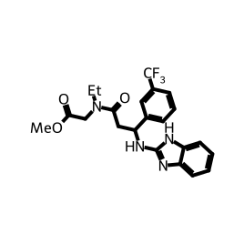 CCN(CC(=O)OC)C(=O)CC(Nc1nc2ccccc2[nH]1)c1cccc(C(F)(F)F)c1